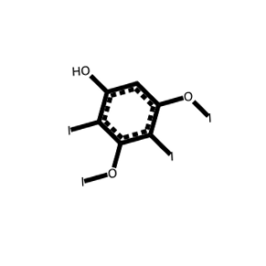 Oc1cc(OI)c(I)c(OI)c1I